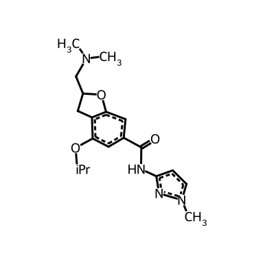 CC(C)Oc1cc(C(=O)Nc2ccn(C)n2)cc2c1CC(CN(C)C)O2